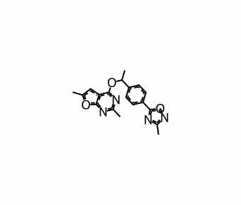 Cc1noc(-c2ccc(C(C)Oc3nc(C)nc4oc(C)cc34)cc2)n1